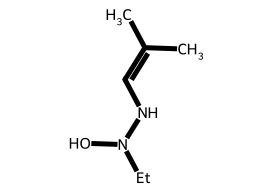 CCN(O)NC=C(C)C